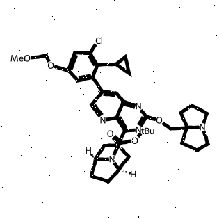 COCOc1cc(Cl)c(C2CC2)c(-c2cnc3c(N4C[C@H]5CC[C@@H](C4)N5C(=O)OC(C)(C)C)nc(OCC45CCCN4CCC5)nc3c2)c1